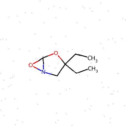 CCC1(CC)CN2O[C]2O1